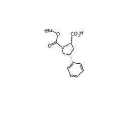 CC(C)(C)OC(=O)N1C[C@@H](c2ccccc2)CC1C(=O)O